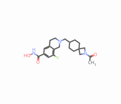 CC(=O)N1CC2(CCC(CN3CCc4cc(C(=O)NO)cc(F)c4C3)CC2)C1